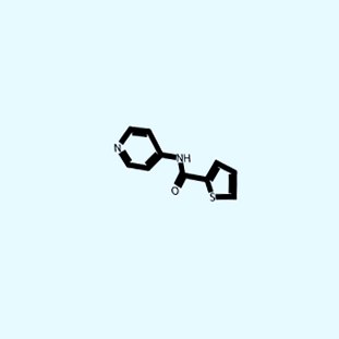 O=C(Nc1ccncc1)c1cccs1